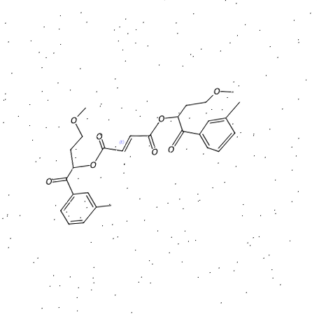 COCCC(OC(=O)/C=C/C(=O)OC(CCOC)C(=O)c1cccc(C)c1)C(=O)c1cccc(C)c1